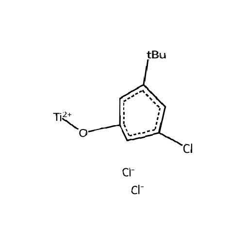 CC(C)(C)c1cc(Cl)cc([O][Ti+2])c1.[Cl-].[Cl-]